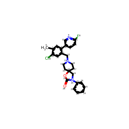 Cc1cc(-c2ccc(F)nc2)c(CN2CCC3(CC2)CN(c2ccccc2)C(=O)O3)cc1Cl